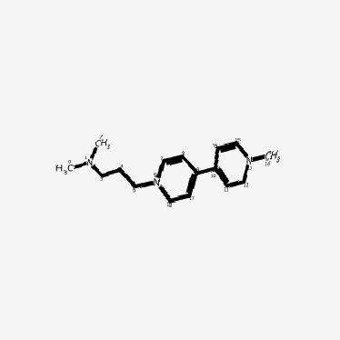 CN(C)CCCN1C=CC(C2=CCN(C)C=C2)=CC1